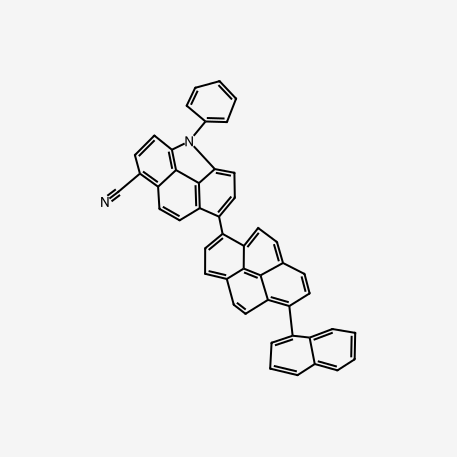 N#Cc1ccc2c3c1ccc1c(-c4ccc5ccc6c(-c7cccc8ccccc78)ccc7ccc4c5c76)ccc(c13)n2-c1ccccc1